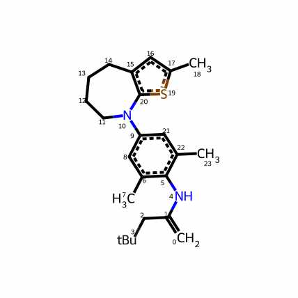 C=C(CC(C)(C)C)Nc1c(C)cc(N2CCCCc3cc(C)sc32)cc1C